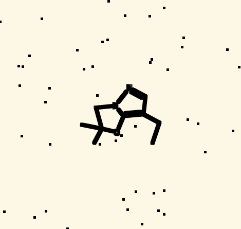 CCc1cnn2c1OC(C)(C)C2